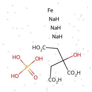 O=C(O)CC(O)(CC(=O)O)C(=O)O.O=P(O)(O)O.[Fe].[NaH].[NaH].[NaH]